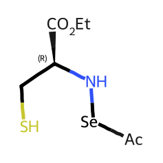 CCOC(=O)[C@H](CS)N[Se]C(C)=O